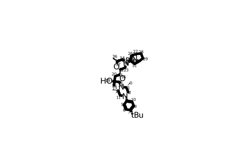 C[C@@H]1CN(c2ccc(C(C)(C)C)cc2)C[C@H](C)N1C(=O)C(C)(O)CC[C@@H]1CN(C2CC3CCC(C2)N3C(C)(C)C)C[C@H](C)O1